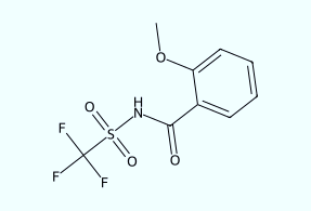 COc1ccccc1C(=O)NS(=O)(=O)C(F)(F)F